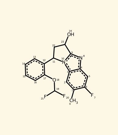 Cc1cc2c(cc1F)nc1n2C(c2ccccc2OC(F)F)CC1O